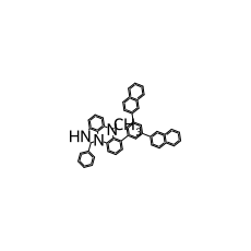 CN1c2cccc3c2N(c2cccc(-c4cc(-c5ccc6ccccc6c5)cc(-c5ccc6ccccc6c5)c4)c21)C(c1ccccc1)N3